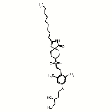 CCCCCCCCCC1=NC2(CCN(S(=O)(=O)/C=C/c3c(C)cc(OCCC(O)CO)cc3C)CC2)C(=O)N1